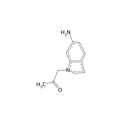 CC(=O)Cn1ccc2ccc(N)cc21